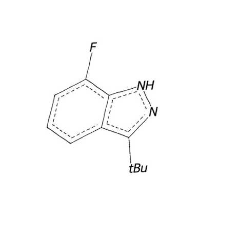 CC(C)(C)c1n[nH]c2c(F)cccc12